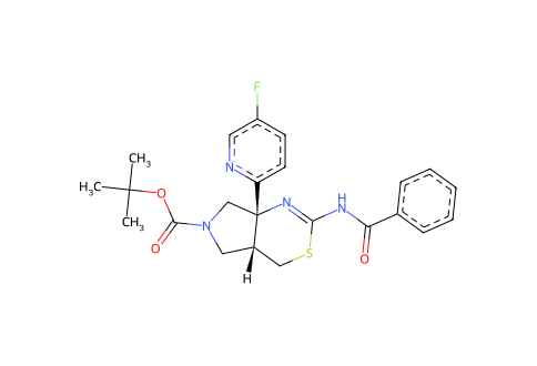 CC(C)(C)OC(=O)N1C[C@H]2CSC(NC(=O)c3ccccc3)=N[C@@]2(c2ccc(F)cn2)C1